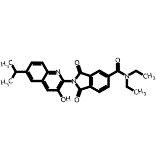 CCN(CC)C(=O)c1ccc2c(c1)C(=O)N(c1nc3ccc(C(C)C)cc3cc1O)C2=O